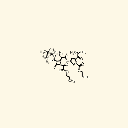 C=CCOC(=O)C(=O)N1C(=O)[C@H]([C@@H](C)O[Si](C)(C)C(C)(C)C)[C@H]1[C@@H](C)C(=S)S[C@H]1C[C@@H](C(=O)N(C)C)N(C(=O)OCC=C)C1